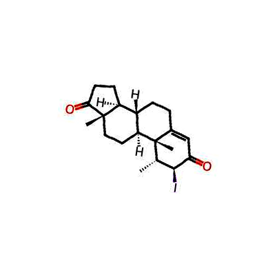 C[C@H]1[C@H](I)C(=O)C=C2CC[C@@H]3[C@H](CC[C@]4(C)C(=O)CC[C@@H]34)[C@]21C